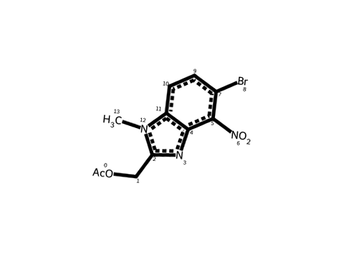 CC(=O)OCc1nc2c([N+](=O)[O-])c(Br)ccc2n1C